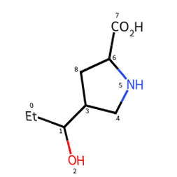 CCC(O)C1CNC(C(=O)O)C1